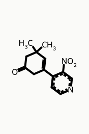 CC1(C)C=C(c2ccncc2[N+](=O)[O-])CC(=O)C1